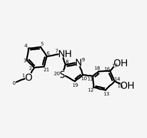 COc1cccc(Nc2nc(-c3ccc(O)c(O)c3)cs2)c1